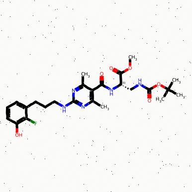 COC(=O)[C@H](CNC(=O)OC(C)(C)C)NC(=O)c1c(C)nc(NCCCc2cccc(O)c2F)nc1C